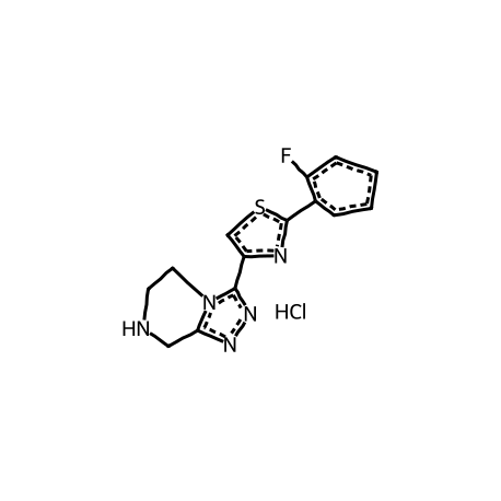 Cl.Fc1ccccc1-c1nc(-c2nnc3n2CCNC3)cs1